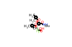 Cc1ccc(C(=O)Oc2ccc(C(=O)CNC(C)(C)C)cc2OC(=O)c2ccc(C)cc2C)c(C)c1.O=C(O)C(F)(F)F